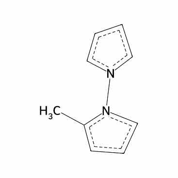 Cc1cccn1-n1cccc1